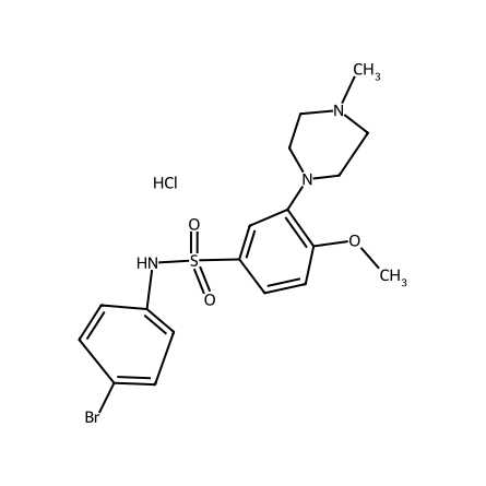 COc1ccc(S(=O)(=O)Nc2ccc(Br)cc2)cc1N1CCN(C)CC1.Cl